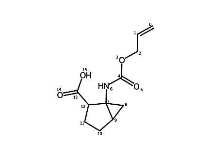 C=CCOC(=O)NC12CC1CCC2C(=O)O